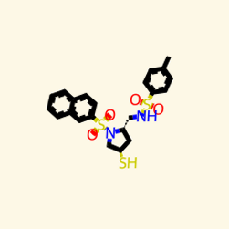 Cc1ccc(S(=O)(=O)NC[C@@H]2C[C@@H](S)CN2S(=O)(=O)c2ccc3ccccc3c2)cc1